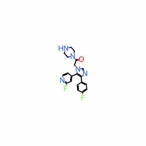 O=C(Cn1cnc(-c2ccc(F)cc2)c1-c1ccnc(F)c1)N1CCNCC1